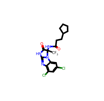 O=C(CCC1CCCC1)NC1(C(F)(F)F)C(=O)Nc2nc3c(Cl)cc(Cl)cc3n21